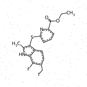 CCOC(=O)c1cccc(Sc2c(C)[nH]c3c(F)c(CI)ccc23)n1